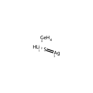 [GeH4].[LiH].[S]=[Ag]